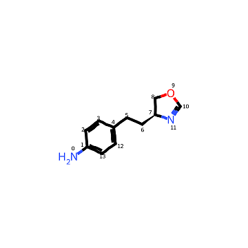 Nc1ccc(CC[C@H]2COC=N2)cc1